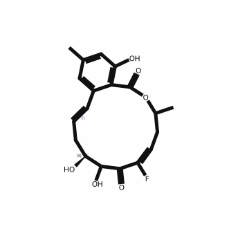 Cc1cc(O)c2c(c1)/C=C/C[C@H](O)C(O)C(=O)C(F)=CCC(C)OC2=O